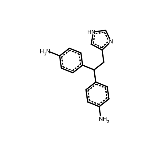 Nc1ccc(C(Cc2c[nH]cn2)c2ccc(N)cc2)cc1